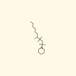 CCCCCCC(C)C(C)(C)CC(C)(C)N1CCCCC1